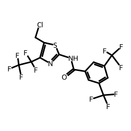 O=C(Nc1nc(C(F)(F)C(F)(F)F)c(CCl)s1)c1cc(C(F)(F)F)cc(C(F)(F)F)c1